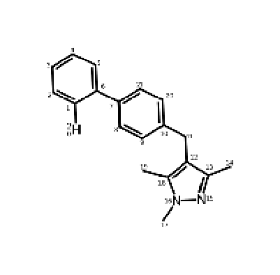 [2H]c1ccccc1-c1ccc(Cc2c(C)nn(C)c2C)cc1